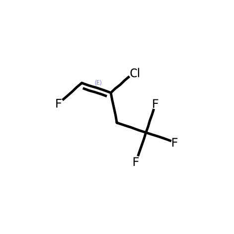 F/C=C(/Cl)CC(F)(F)F